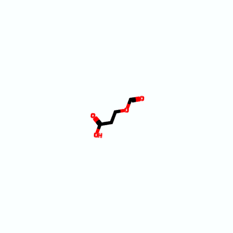 O=COCCC(=O)O